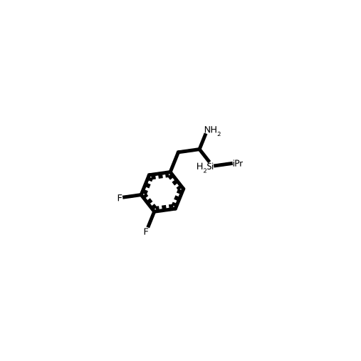 CC(C)[SiH2]C(N)Cc1ccc(F)c(F)c1